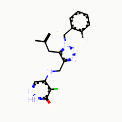 C=C(C)Cc1c(CNc2cn[nH]c(=O)c2Cl)nnn1[C@H](C)c1ccccc1C(F)(F)F